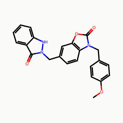 COc1ccc(Cn2c(=O)oc3cc(Cn4[nH]c5ccccc5c4=O)ccc32)cc1